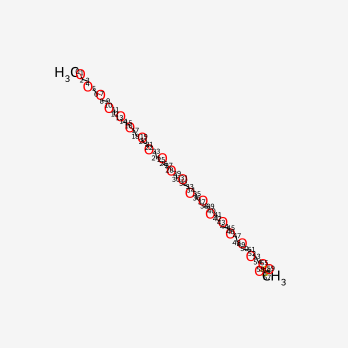 COCCOCCOCCOCCOCCOCCOCCOCCOCCOCCOCCOCCOCCOCCOCCOCCOCCOCCOS(C)(=O)=O